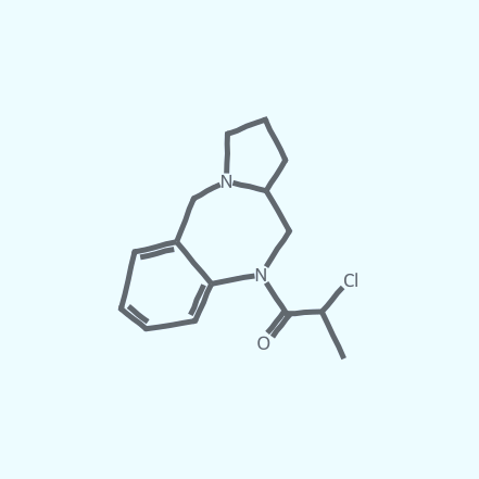 CC(Cl)C(=O)N1CC2CCCN2Cc2ccccc21